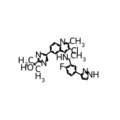 Cc1nc2ccc(-c3cnc(C(C)(C)O)nc3)cc2c(N[C@H](C)c2cc(-c3cc[nH]n3)ccc2F)c1Cl